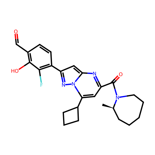 C[C@@H]1CCCCCN1C(=O)c1cc(C2CCC2)n2nc(-c3ccc(C=O)c(O)c3F)cc2n1